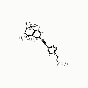 CCOC(=O)CCc1ccc(C#Cc2ccc3c(c2)C(C)(C)CCC3(C)C)nn1